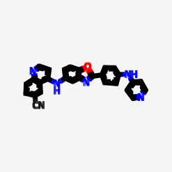 N#Cc1ccc2nccc(Nc3ccc4oc(-c5ccc(Nc6ccncc6)cc5)nc4c3)c2c1